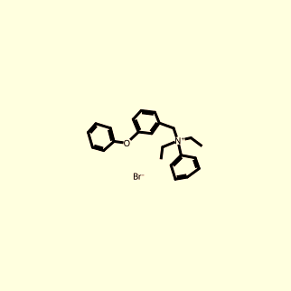 CC[N+](CC)(Cc1cccc(Oc2ccccc2)c1)c1ccccc1.[Br-]